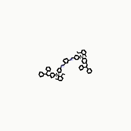 CCc1cccc(C)c1N(c1ccc(C=C(c2ccccc2)c2ccccc2)cc1)c1ccc(/C=C/c2cccc(/C=C/c3ccc(N(c4ccc(C=C(c5ccccc5)c5ccccc5)cc4)c4c(C)cccc4CC)cc3)c2)cc1